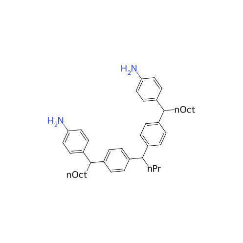 CCCCCCCCC(c1ccc(N)cc1)c1ccc(C(CCC)c2ccc(C(CCCCCCCC)c3ccc(N)cc3)cc2)cc1